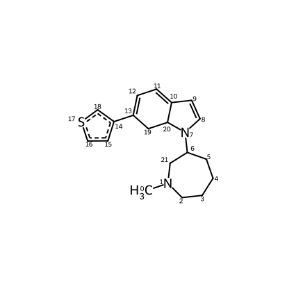 CN1CCCCC(N2C=CC3=CC=C(c4ccsc4)CC32)C1